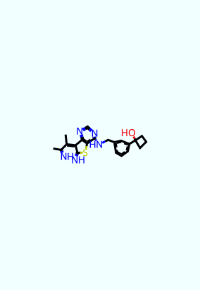 CC(=N)/C(C)=C1\C(=N)Sc2c(NCc3cccc(C4(O)CCC4)c3)ncnc21